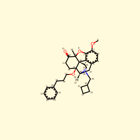 COc1ccc2c3c1OC1(C)C(=O)CC[C@@]4(OCCCc5ccccc5)[C@@H](C2)N(CC2CCC2)CC[C@]314